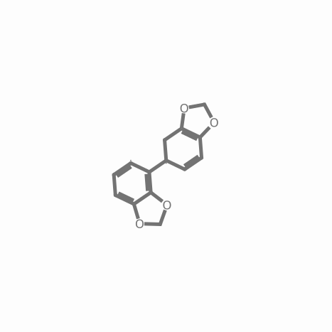 [c]1ccc2c(c1[C]1C=CC3=C(C1)OCO3)OCO2